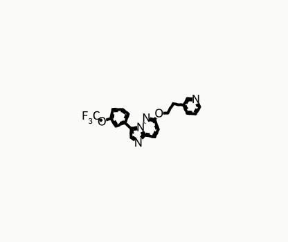 FC(F)(F)Oc1cccc(-c2cnc3ccc(OCCc4cccnc4)nn23)c1